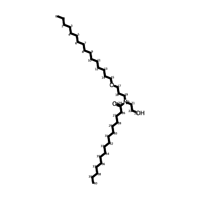 CCCCCCCCCCCCCCCCOCCCN(CCO)C(=O)CCCCCCCCCCCCCCC